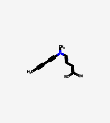 CC#CC#CN(C)/C=C/C=C(C#N)C#N